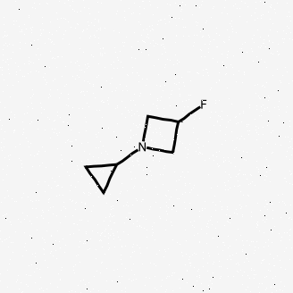 F[C]1CN(C2CC2)C1